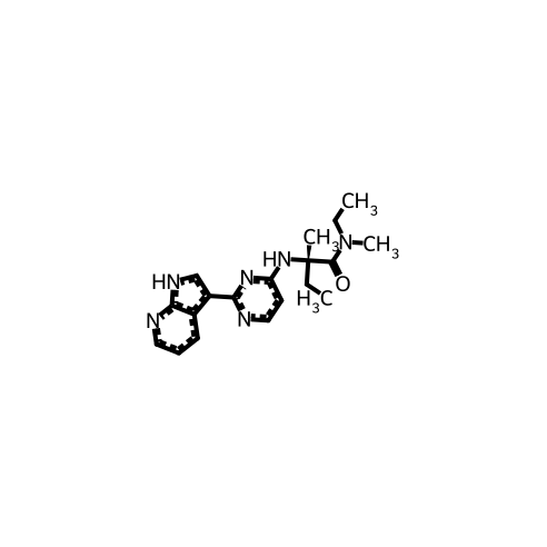 CCN(C)C(=O)[C@](C)(CC)Nc1ccnc(-c2c[nH]c3ncccc23)n1